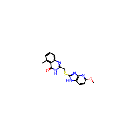 COc1ccc2[nH]c(SCc3nc4cccc(C)c4c(=O)[nH]3)nc2n1